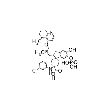 C[C@@H](COc1ccnc2c1[C@H](C)CCC2)CC1Cc2cc(O)c(OP(=O)(O)O)cc2C12CCC(Nc1cccc(Cl)c1)(C(=O)O)CC2